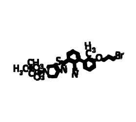 Cc1c(OCCCBr)cccc1-c1cccc(-c2nc3c(s2)CN(C(=O)OC(C)(C)C)CC3)c1C#N